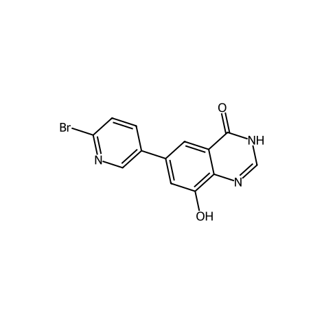 O=c1[nH]cnc2c(O)cc(-c3ccc(Br)nc3)cc12